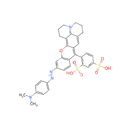 CN(C)c1ccc(/N=N/c2ccc3c(c2)Oc2c4c5c(cc2=C3c2ccc(S(=O)(=O)O)cc2S(=O)(=O)O)CCC[N+]=5CCC4)cc1